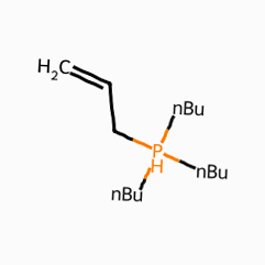 C=CC[PH](CCCC)(CCCC)CCCC